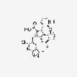 Cc1nn(C)c2nc(Cl)c(Cn3c(C(=O)O)c(-c4ccc[nH]c4=O)c4c5occc5c(F)cc43)cc12